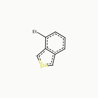 CCc1cccc2[c]s[c]c12